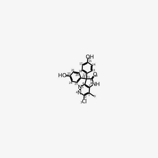 Cc1c(Cl)nnc2c1NC(=O)C2(c1ccc(O)cc1)c1ccc(O)cc1